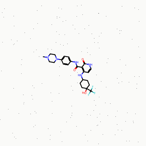 CN1CCN(c2ccc(NC(=O)c3c(NC4CCC(O)(C(F)(F)F)CC4)cc[nH]c3=O)cc2)CC1